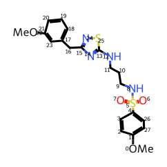 COc1ccc(S(=O)(=O)NCCCNc2nc(Cc3cccc(OC)c3)ns2)cc1